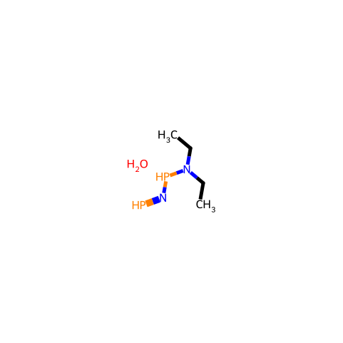 CCN(CC)PN=P.O